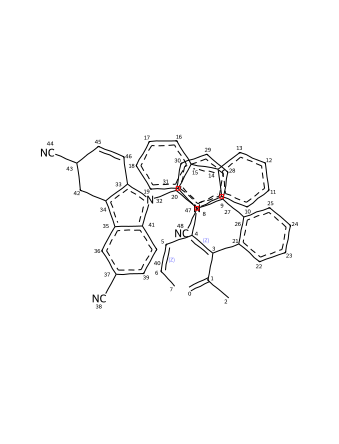 C=C(C)/C(=C(\C=C/C)n1c2ccccc2c2ccccc21)c1ccccc1-c1cccc(-n2c3c(c4cc(C#N)ccc42)CC(C#N)C=C3)c1C#N